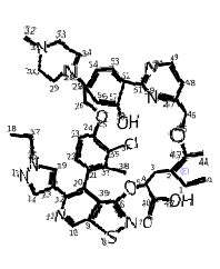 C=C/C(CC(Oc1nsc2cnc(-c3cnn(CC)c3)c(-c3ccc(OCCN4CCN(C)CC4)c(Cl)c3C)c12)C(=O)O)=C(\C)OCc1ccnc(-c2ccccc2O)n1